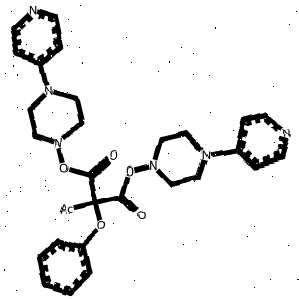 CC(=O)C(Oc1ccccc1)(C(=O)ON1CCN(c2ccncc2)CC1)C(=O)ON1CCN(c2ccncc2)CC1